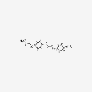 CCCOc1ccc(CCCOc2ccc(C)cc2)cc1